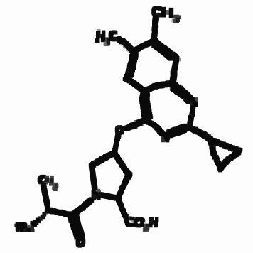 Cc1cc2nc(C3CC3)nc(OC3CC(C(=O)O)N(C(=O)[C@@H](C)C(C)(C)C)C3)c2cc1C